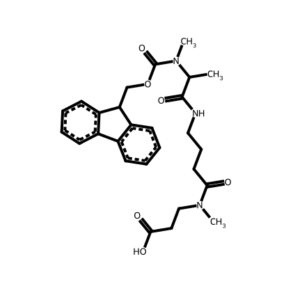 CC(C(=O)NCCCC(=O)N(C)CCC(=O)O)N(C)C(=O)OCC1c2ccccc2-c2ccccc21